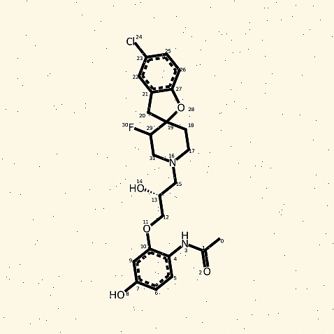 CC(=O)Nc1ccc(O)cc1OC[C@H](O)CN1CCC2(Cc3cc(Cl)ccc3O2)C(F)C1